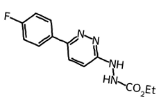 CCOC(=O)NNc1ccc(-c2ccc(F)cc2)nn1